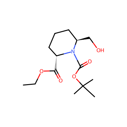 CCOC(=O)[C@@H]1CCC[C@@H](CO)N1C(=O)OC(C)(C)C